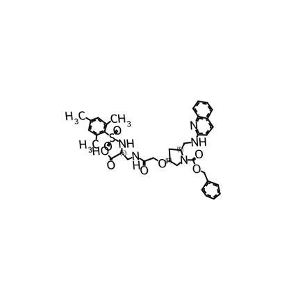 Cc1cc(C)c(S(=O)(=O)N[C@@H](CNC(=O)CO[C@@H]2C[C@@H](CNc3ccc4ccccc4n3)N(C(=O)OCc3ccccc3)C2)C(=O)O)c(C)c1